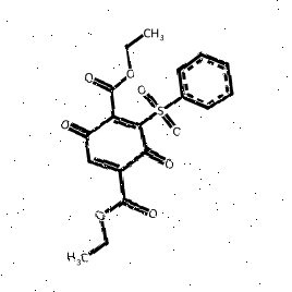 CCOC(=O)C1=CC(=O)C(C(=O)OCC)=C(S(=O)(=O)c2ccccc2)C1=O